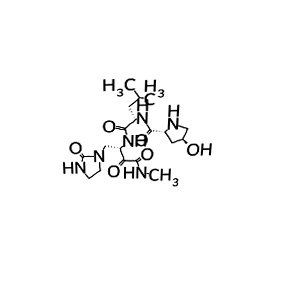 CNC(=O)C(=O)[C@H](CN1CCNC1=O)NC(=O)[C@H](CC(C)C)NC(=O)[C@H]1C[C@H](O)CN1